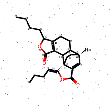 CCC/C=C1\OC(=O)C2=C[C@H]3CC[C@]21C1C2=C(CCC13)C(CCCC)OC2=O